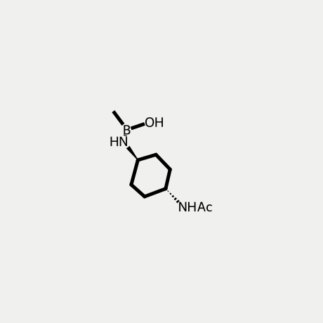 CB(O)N[C@H]1CC[C@H](NC(C)=O)CC1